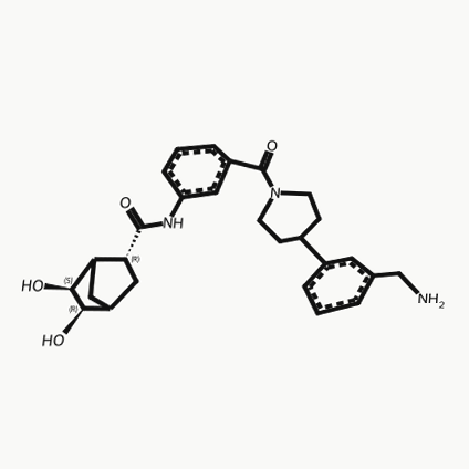 NCc1cccc(C2CCN(C(=O)c3cccc(NC(=O)[C@@H]4CC5CC4[C@H](O)[C@@H]5O)c3)CC2)c1